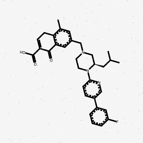 Cc1cc(CN2CCN(c3ccc(-c4cccc(F)c4)cn3)[C@H](CC(C)C)C2)cc2c1CC=C(C(=O)O)C2=O